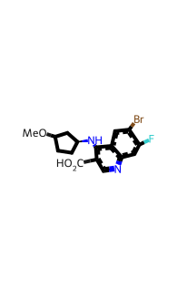 COC1CC[C@H](Nc2c(C(=O)O)cnc3cc(F)c(Br)cc23)C1